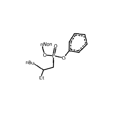 CCCCCCCCCOP(=O)(CC(CC)CCCC)Oc1ccccc1